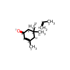 C=CC.CC1=CC(=O)CC(C)(C)C1